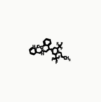 CCCN1C(C(F)(F)F)CN(C(CNCc2ccccc2)c2ccccc2OC)CC1C(F)(F)F